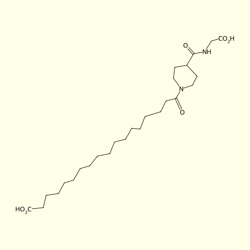 O=C(O)CCCCCCCCCCCCCCCCC(=O)N1CCC(C(=O)NCC(=O)O)CC1